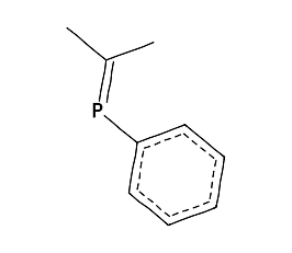 CC(C)=Pc1ccccc1